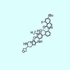 Cn1nc(-c2cccc(-n3ncc4cc(C(C)(C)C)cc(F)c4c3=O)c2CO)cc(Nc2cc3n(n2)CNC(C2COC2)C3)c1=O